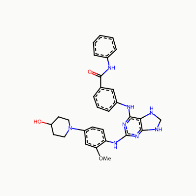 COc1cc(N2CCC(O)CC2)ccc1Nc1nc2c(c(Nc3cccc(C(=O)Nc4ccccc4)c3)n1)NCN2